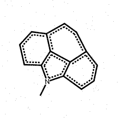 Cn1c2cccc3ccc4cccc1c4c32